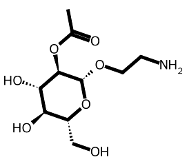 CC(=O)O[C@H]1[C@H](OCCN)O[C@H](CO)[C@@H](O)[C@@H]1O